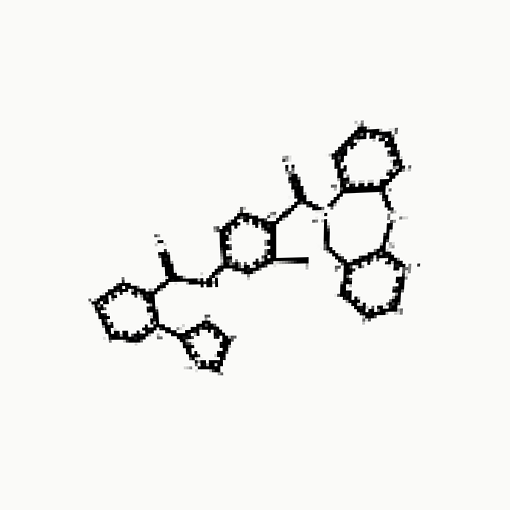 Cc1cc(NC(=O)c2ccccc2-c2cccs2)ccc1C(=O)N1Cc2cccnc2Oc2ccccc21